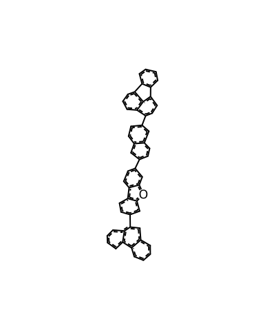 c1ccc2c(c1)-c1cccc3c(-c4ccc5cc(-c6ccc7c(c6)oc6cc(-c8cc9ccccc9c9ccccc89)ccc67)ccc5c4)ccc-2c13